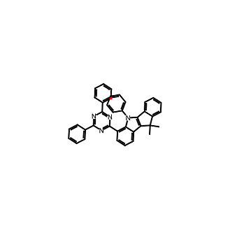 CC1(C)c2ccccc2-c2c1c1cccc(-c3nc(-c4ccccc4)nc(-c4ccccc4)n3)c1n2-c1ccccc1